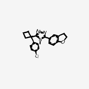 Cn1c(-c2ccc3c(c2)CCO3)nnc1C1(c2ccc(Cl)cc2)CCC1